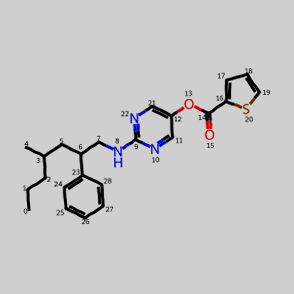 CCCC(C)CC(CNc1ncc(OC(=O)c2cccs2)cn1)c1ccccc1